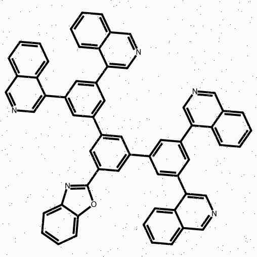 c1ccc2c(-c3cc(-c4cc(-c5cc(-c6cncc7ccccc67)cc(-c6cncc7ccccc67)c5)cc(-c5nc6ccccc6o5)c4)cc(-c4cncc5ccccc45)c3)cncc2c1